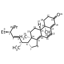 CC[C@H](C=C[C@@H](C)[C@H]1CCC2=C3C=CC4=CC(=O)CC[C@]4(C)[C@H]3CC[C@@]21C)C(C)C